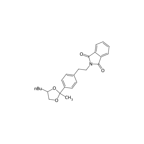 CCCCC1COC(C)(c2ccc(CCN3C(=O)c4ccccc4C3=O)cc2)O1